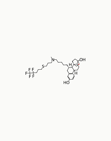 CN(CCCCC[C@@H]1Cc2cc(O)ccc2[C@H]2CC[C@]3(C)[C@]4(O)CC[C@@]3(CC4)[C@H]12)CCCSCCCC(F)(F)C(F)(F)F